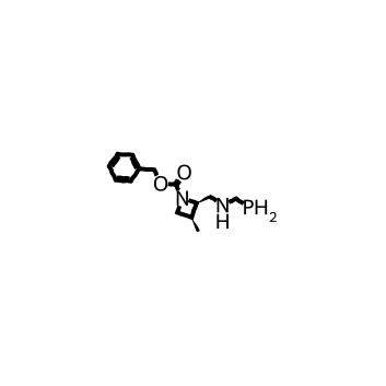 C[C@H]1CN(C(=O)OCc2ccccc2)[C@H]1CNCP